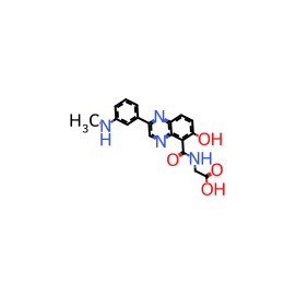 CNc1cccc(-c2cnc3c(C(=O)NCC(=O)O)c(O)ccc3n2)c1